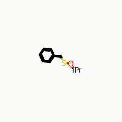 CC(C)OSCc1ccccc1